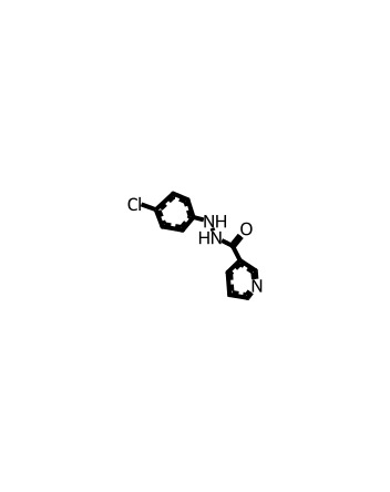 O=C(NNc1ccc(Cl)cc1)c1cccnc1